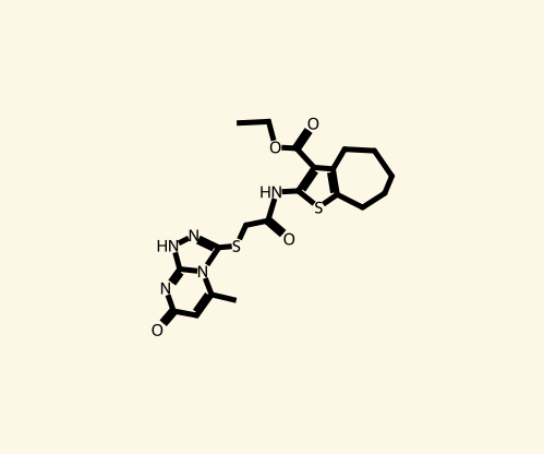 CCOC(=O)c1c(NC(=O)CSc2n[nH]c3nc(=O)cc(C)n23)sc2c1CCCCC2